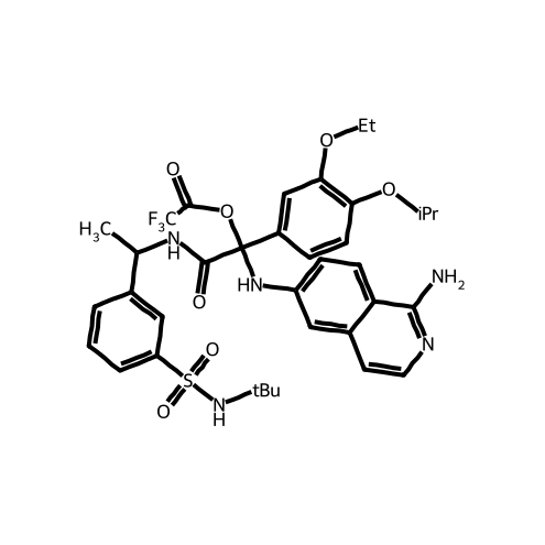 CCOc1cc(C(Nc2ccc3c(N)nccc3c2)(OC(=O)C(F)(F)F)C(=O)NC(C)c2cccc(S(=O)(=O)NC(C)(C)C)c2)ccc1OC(C)C